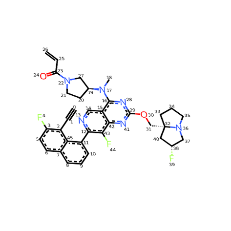 C#Cc1c(F)ccc2cccc(-c3ncc4c(N(C)[C@H]5CCN(C(=O)C=C)C5)nc(OC[C@]56CCCN5C[C@H](F)C6)nc4c3F)c12